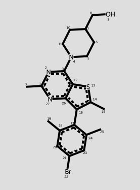 Cc1nc(N2CCC(CO)CC2)c2sc(C)c(-c3c(C)cc(Br)cc3C)c2n1